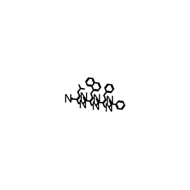 CC(C)Cc1nc(-c2cnc(-c3cnc(-c4ccccc4)nc3Cc3ccccc3)nc2Cc2cccc3ccccc23)ncc1C#N